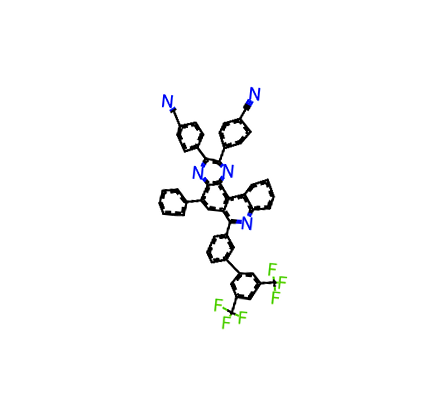 N#Cc1ccc(-c2nc3c(-c4ccccc4)cc4c(-c5cccc(-c6cc(C(F)(F)F)cc(C(F)(F)F)c6)c5)nc5ccccc5c4c3nc2-c2ccc(C#N)cc2)cc1